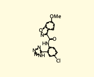 COc1ccc2c(C(=O)Nc3ccc(Cl)cc3-c3nnn[nH]3)noc2c1